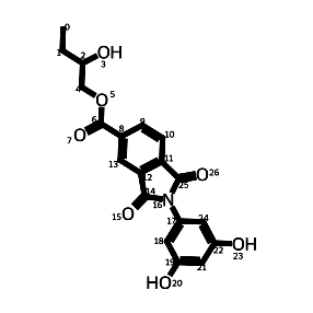 CCC(O)COC(=O)c1ccc2c(c1)C(=O)N(c1cc(O)cc(O)c1)C2=O